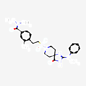 Cc1cc(C(=O)N(C)C)ccc1CCS(=O)(=O)N1CCC2(CC1)N=C(N(C)c1ccccc1)NC2=O